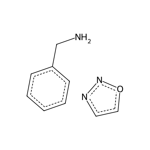 NCc1ccccc1.c1conn1